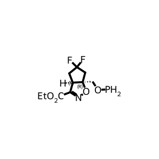 CCOC(=O)C1=NO[C@]2(COP)CC(F)(F)C[C@H]12